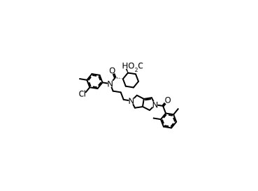 Cc1ccc(N(CCCN2CC3=CN(C(=O)c4c(C)cccc4C)CC3C2)C(=O)[C@H]2CCCC[C@@H]2C(=O)O)cc1Cl